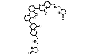 O=C1CC[C@H](CNCc2ccc3nc(-c4cccc(-c5cccc(-c6cc(=O)n7cc(CNC[C@@H]8CCC(=O)N8)ccc7n6)c5Cl)c4Cl)cc(=O)n3c2)N1